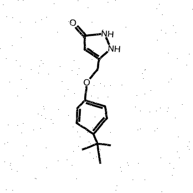 CC(C)(C)c1ccc(OCc2cc(=O)[nH][nH]2)cc1